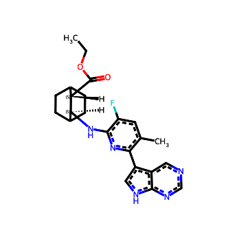 CCOC(=O)[C@H]1C2CCC(CC2)[C@@H]1Nc1nc(-c2c[nH]c3ncncc23)c(C)cc1F